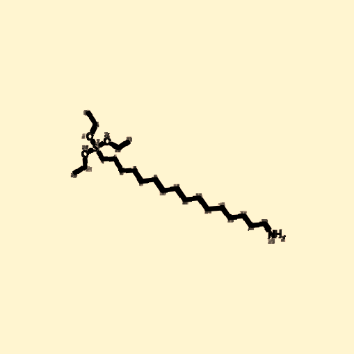 CCO[Si](CCCCCCCCCCCCCCCCN)(OCC)OCC